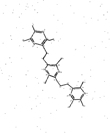 Cc1nc(C)c(CCc2nc(C)c(CCc3nc(C)c(C)nc3C)nc2C)nc1C